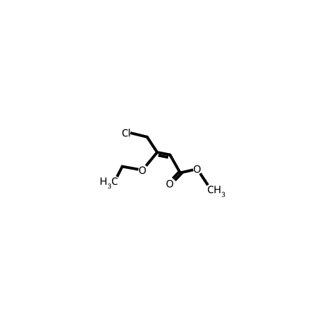 CCO/C(=C\C(=O)OC)CCl